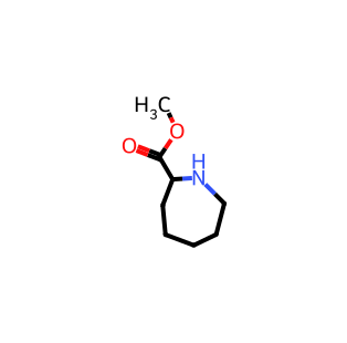 COC(=O)C1CCCCCN1